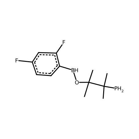 CC(C)(P)C(C)(C)OBc1ccc(F)cc1F